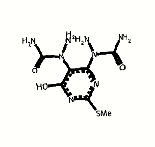 CSc1nc(O)c(N(N)C(N)=O)c(N(N)C(N)=O)n1